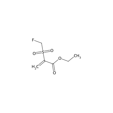 C=C(C(=O)OCC)S(=O)(=O)CF